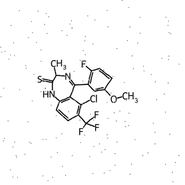 COc1ccc(F)c(C2=NC(C)C(=S)Nc3ccc(C(F)(F)F)c(Cl)c32)c1